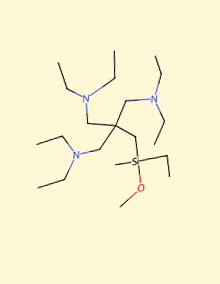 CCN(CC)CC(CN(CC)CC)(CN(CC)CC)C[Si](C)(CC)OC